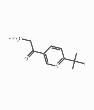 CCOC(=O)CC(=O)c1ccc(C(I)(I)I)nc1